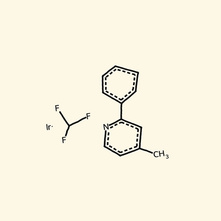 Cc1ccnc(-c2ccccc2)c1.FC(F)F.[Ir]